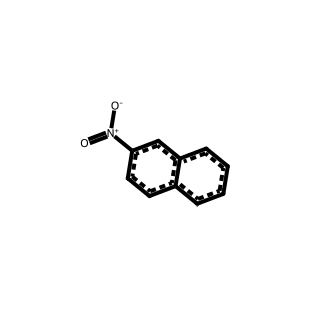 O=[N+]([O-])c1ccc2[c]cccc2c1